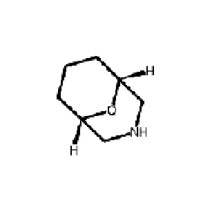 C1C[C@@H]2CNC[C@H](C1)O2